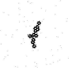 c1ccc(-c2cc3ccc4cc(-c5cc6c7cnccc7n(-c7ccc8cc(-c9ccccn9)ccc8c7)c6c6ccccc56)cc5ccc(c2)c3c45)cc1